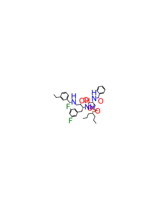 CCCC(CCC)S(=O)(=O)CC(NC(=O)c1ccccc1)C(=O)N[C@@H](Cc1cc(F)cc(F)c1)[C@H](O)CNCc1cccc(CC)c1